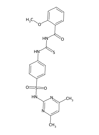 COc1ccccc1C(=O)NC(=S)Nc1ccc(S(=O)(=O)Nc2nc(C)cc(C)n2)cc1